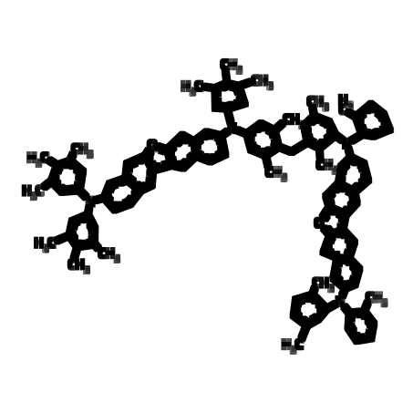 Cc1ccc(C)c(N(c2ccc3cc4c(cc3c2)oc2cc3cc(N(c5ccccc5C)c5cc(C)cc(Cc6c(C)cc(N(c7cc(C)c(C)c(C)c7)c7ccc8cc9c(cc8c7)oc7cc8cc(N(c%10cc(C)c(C)c(C)c%10)c%10cc(C)c(C)c(C)c%10)ccc8cc79)cc6C)c5C)ccc3cc24)c2ccccc2C)c1